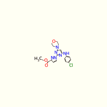 CCOC(=O)c1ccn(-c2nc(Nc3ccc(Cl)cc3)cc(N3CCOCC3)n2)n1